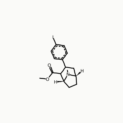 COC(=O)C1C(c2ccc(I)cc2)C[C@@H]2CC[C@H]1N2C